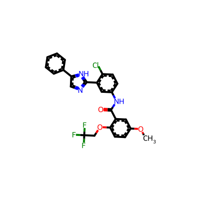 COc1ccc(OCC(F)(F)F)c(C(=O)Nc2ccc(Cl)c(-c3ncc(-c4ccccc4)[nH]3)c2)c1